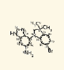 CC1(C)CN(c2nc(N)nc3[nH]cnc23)c2cc(Br)ccc21